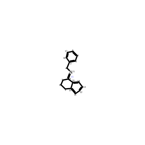 c1ccc(C/N=C2\CCCc3ccccc32)cc1